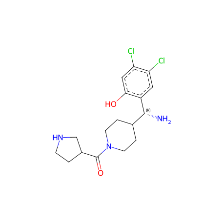 N[C@@H](c1cc(Cl)c(Cl)cc1O)C1CCN(C(=O)C2CCNC2)CC1